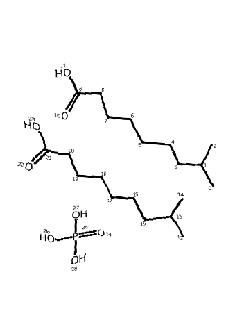 CC(C)CCCCCCC(=O)O.CC(C)CCCCCCC(=O)O.O=P(O)(O)O